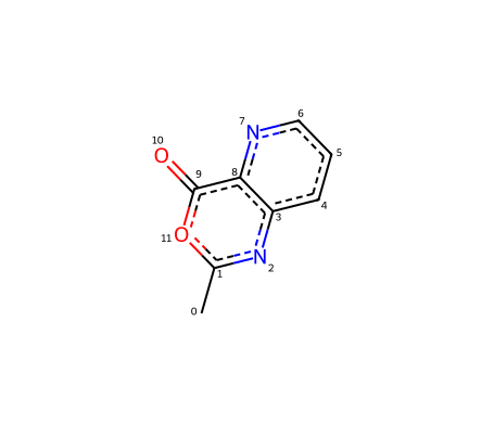 Cc1nc2cccnc2c(=O)o1